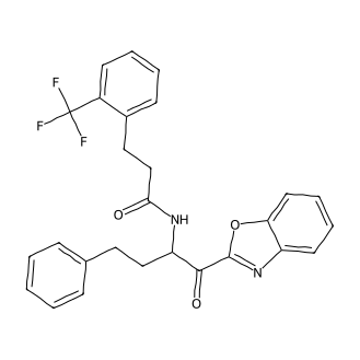 O=C(CCc1ccccc1C(F)(F)F)NC(CCc1ccccc1)C(=O)c1nc2ccccc2o1